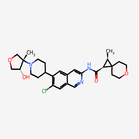 C[C@@H]1[C@H](C(=O)Nc2cc3cc(C4CCN([C@@]5(C)COC[C@H]5O)CC4)c(Cl)cc3cn2)C12CCOCC2